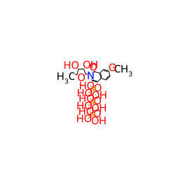 COc1ccc2ccn(C3OC(C)C(O)C3O)c(=O)c2c1.O=P(O)(O)O.O=P(O)(O)O.O=P(O)(O)O